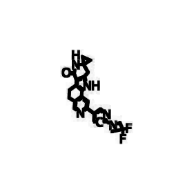 O=C1NC2(CC2)Cc2[nH]c3c(c21)CCc1cnc(-c2ccc(N4CC(F)(F)C4)nc2)cc1-3